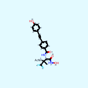 CC(=O)NC(C)(C(F)F)[C@H](NC(=O)c1ccc(C#Cc2ccc(O)cc2)cc1)C(=O)NO